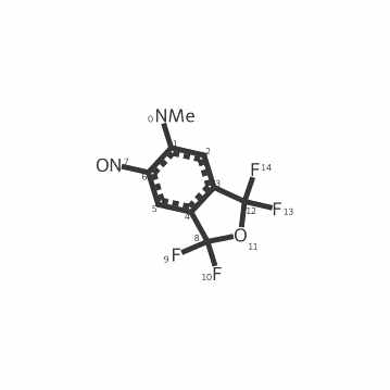 CNc1cc2c(cc1N=O)C(F)(F)OC2(F)F